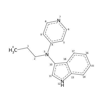 CCCN(c1ccncc1)c1c[nH]c2ccccc12